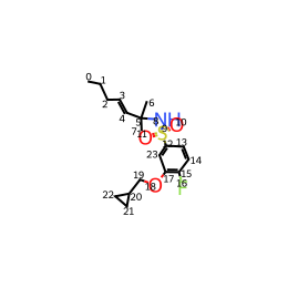 CCC/C=C/C(C)(C)NS(=O)(=O)c1ccc(F)c(OCC2CC2)c1